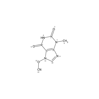 Cn1c(=O)[nH]c(=O)c2c1ncn2OC#N